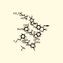 C#CCN1C(=O)COc2cc(F)c(/N=c3\snc4n3CC(C)(C)C4)cc21.CCS(=O)(=O)c1cccnc1S(=O)(=O)NC(=O)Nc1nc(OC)cc(OC)n1.COc1nc(C)nc(NC(=O)NS(=O)(=O)c2ccccc2CCC(F)(F)F)n1.C[S+](C)C.O=C(O)CNCP(=O)([O-])O